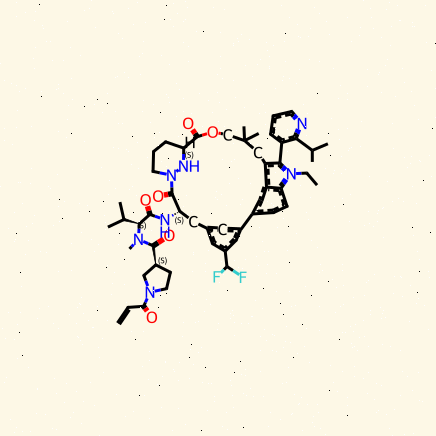 C=CC(=O)N1CC[C@H](C(=O)N(C)[C@H](C(=O)N[C@H]2Cc3cc(cc(C(F)F)c3)-c3ccc4c(c3)c(c(-c3cccnc3C(C)C)n4CC)CC(C)(C)COC(=O)[C@@H]3CCCN(N3)C2=O)C(C)C)C1